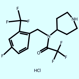 Cl.O=C(N(Cc1ccc(F)cc1C(F)(F)F)C1CCNCC1)C(F)(F)F